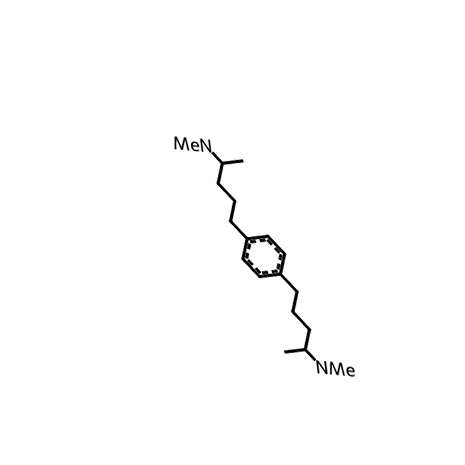 CNC(C)CCCc1ccc(CCCC(C)NC)cc1